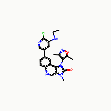 CCNc1cc(-c2ccc3ncc4c(c3c2)n(-c2c(C)noc2C)c(=O)n4C)cnc1Cl